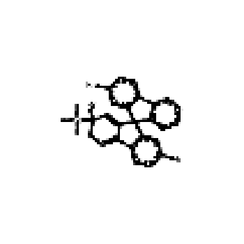 C[Si](C)(C)C1(Br)C=C2C(=CC1)c1ccc(Br)cc1C21c2ccccc2-c2ccc(Br)cc21